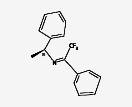 C[C@H](N=C(c1ccccc1)C(F)(F)F)c1ccccc1